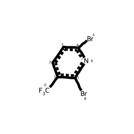 FC(F)(F)c1ccc(Br)nc1Br